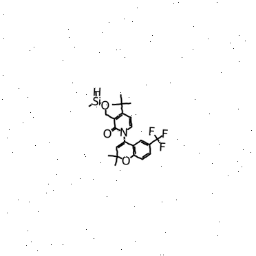 C[SiH](C)OCc1c(C(C)(C)C)ccn(C2=CC(C)(C)Oc3ccc(C(F)(F)F)cc32)c1=O